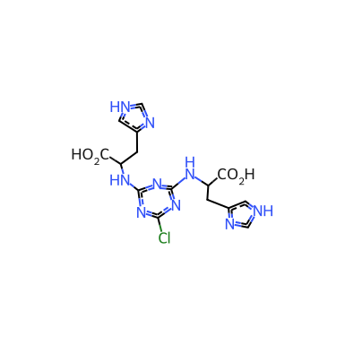 O=C(O)C(Cc1c[nH]cn1)Nc1nc(Cl)nc(NC(Cc2c[nH]cn2)C(=O)O)n1